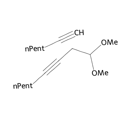 C#CCCCCC.CCCCCC#CCC(OC)OC